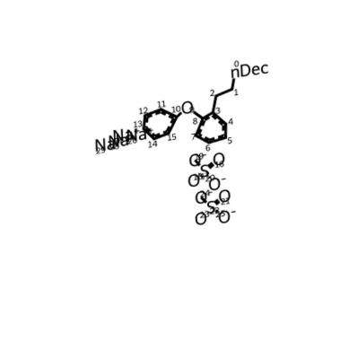 CCCCCCCCCCCCc1ccccc1Oc1ccccc1.O=S(=O)([O-])[O-].O=S(=O)([O-])[O-].[Na+].[Na+].[Na+].[Na+]